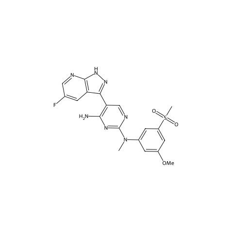 COc1cc(N(C)c2ncc(-c3n[nH]c4ncc(F)cc34)c(N)n2)cc(S(C)(=O)=O)c1